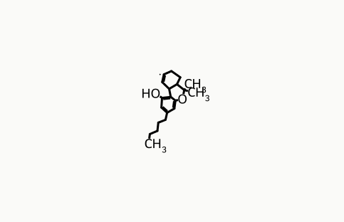 CCCCCc1cc(O)c2c(c1)OC(C)(C)C1CC[C]=CC21